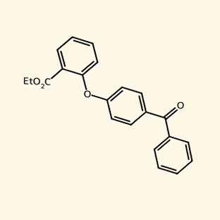 CCOC(=O)c1ccccc1Oc1ccc(C(=O)c2ccccc2)cc1